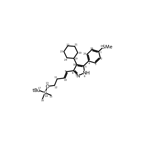 CSc1ccc(-c2[nH]nc(/C=C/CCO[Si](C)(C)C(C)(C)C)c2C2CCCCC2)cc1